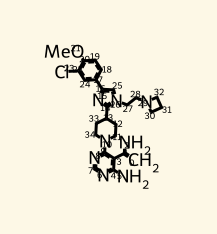 C=C(N)c1c(N)ncnc1N1CCC(c2nc(-c3ccc(OC)c(Cl)c3)cn2CCN2CCC2)CC1